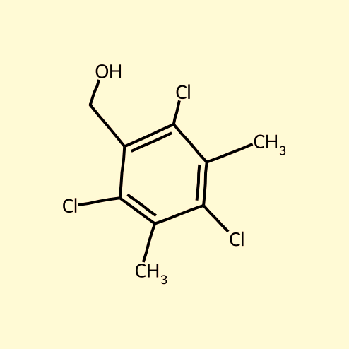 Cc1c(Cl)c(C)c(Cl)c(CO)c1Cl